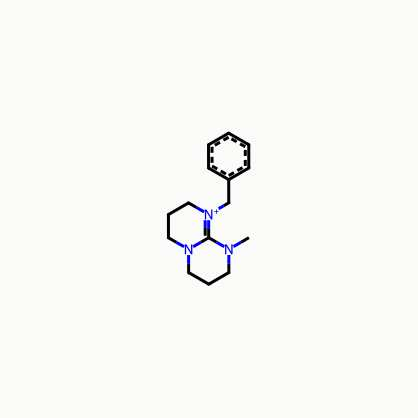 CN1CCCN2CCC[N+](Cc3ccccc3)=C12